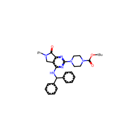 CC(C)N1Cc2c(NC(c3ccccc3)c3ccccc3)nc(N3CCN(C(=O)OC(C)(C)C)CC3)nc2C1=O